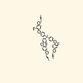 CC#CCOc1ccc(Oc2ccc(C(C)(c3ccc(Oc4ccc(OCC#CC)cc4F)cc3)c3ccc(Oc4ccc(OCC#CC)cc4F)cc3)cc2)c(F)c1